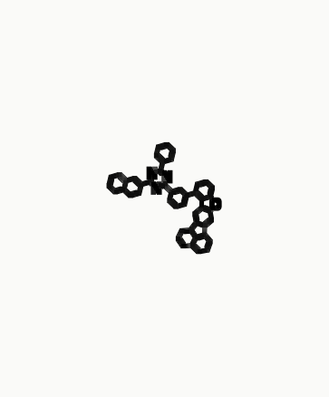 c1ccc(-c2nc(-c3cccc(-c4cccc5oc6cc7c(cc6c45)-c4cccc5cccc-7c45)c3)nc(-c3ccc4ccccc4c3)n2)cc1